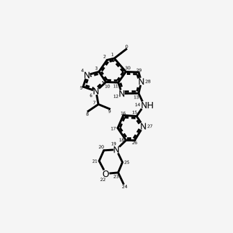 Cc1cc2ncn(C(C)C)c2c2nc(Nc3ccc(N4CCOC(C)C4)cn3)ncc12